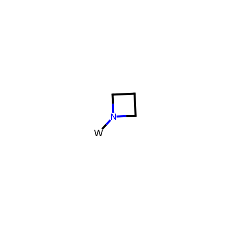 [W][N]1CCC1